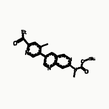 CCC(=O)c1cc(C)c(-c2cnc3cc(N(C)C(=O)OC(C)(C)C)ncc3c2)cn1